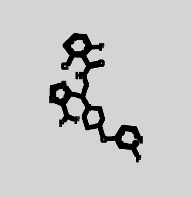 O=C(NCC(c1scnc1C(F)F)N1CCC(Oc2ccnc(F)c2)CC1)c1c(F)cccc1Cl